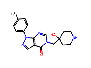 O=c1c2cnn(-c3ccc(C(F)(F)F)cc3)c2ncn1CC1(O)CCNCC1